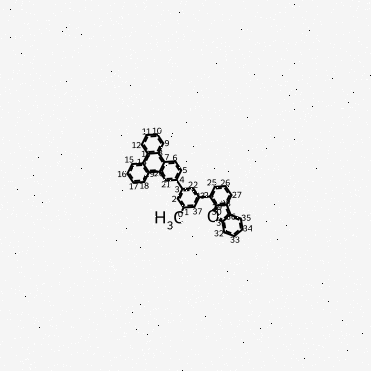 Cc1cc(-c2ccc3c4ccccc4c4ccccc4c3c2)cc(-c2cccc3c2oc2ccccc23)c1